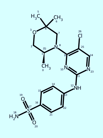 C[C@H]1COC(C)(C)CN1c1nc(Nc2ccc(S(N)(=O)=O)cc2)ncc1Cl